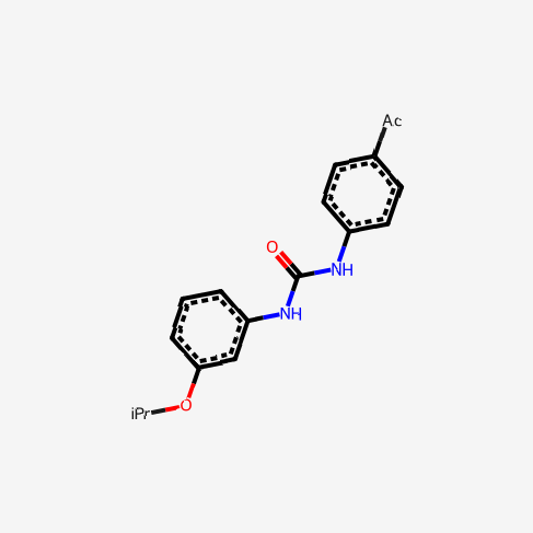 CC(=O)c1ccc(NC(=O)Nc2cccc(OC(C)C)c2)cc1